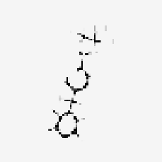 CC1(C)OB(c2ccc(C(F)(F)c3c(F)c(F)cc(F)c3F)cc2)OC1(C)C